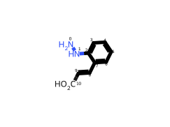 NNc1ccccc1/C=C/C(=O)O